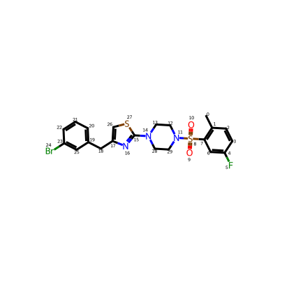 Cc1ccc(F)cc1S(=O)(=O)N1CCN(c2nc(Cc3cccc(Br)c3)cs2)CC1